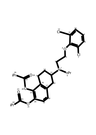 CCCN(CCOc1c(Cl)cccc1Cl)C1CCc2c(ccc(OC(=O)C(C)C)c2OC(=O)C(C)C)C1